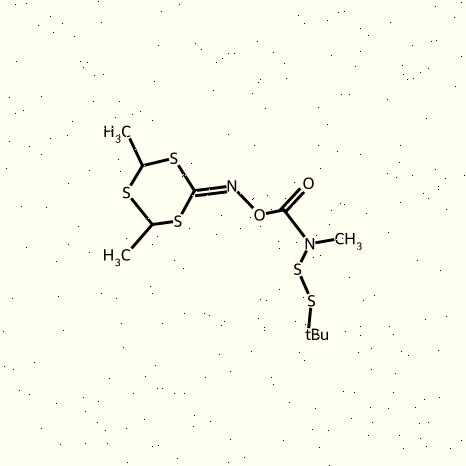 CC1SC(=NOC(=O)N(C)SSC(C)(C)C)SC(C)S1